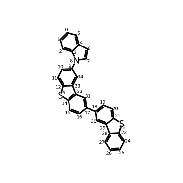 c1ccc2c(c1)ccn2-c1ccc2sc3ccc(-c4ccc5sc6ccccc6c5c4)cc3c2c1